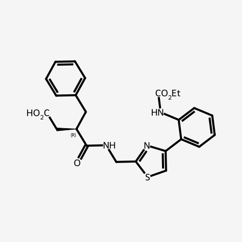 CCOC(=O)Nc1ccccc1-c1csc(CNC(=O)[C@@H](CC(=O)O)Cc2ccccc2)n1